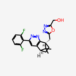 CC1(C)[C@H]2CC[C@]1(Cc1nnc(CO)o1)c1nnc(-c3c(F)cccc3F)cc12